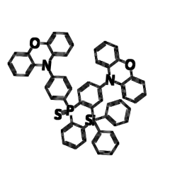 S=P1(c2ccc(N3c4ccccc4Oc4ccccc43)cc2)c2ccccc2[Si](c2ccccc2)(c2ccccc2)c2cc(N3c4ccccc4Oc4ccccc43)ccc21